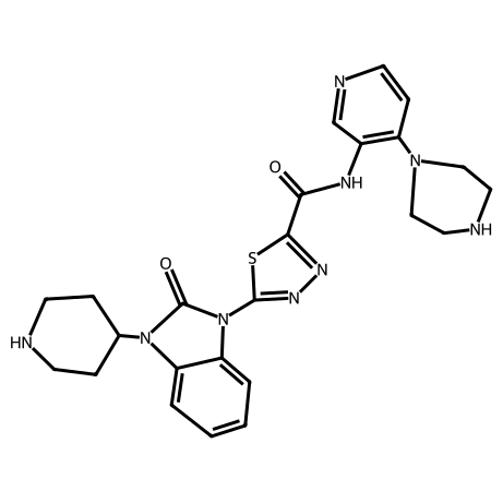 O=C(Nc1cnccc1N1CCNCC1)c1nnc(-n2c(=O)n(C3CCNCC3)c3ccccc32)s1